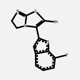 CC(C)C1=C(c2cc3cccc(F)c3s2)N2CCN=C2S1